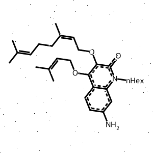 CCCCCCn1c(=O)c(OCC=C(C)CCC=C(C)C)c(OCC=C(C)C)c2ccc(N)cc21